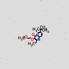 CCc1nc2ccc(C(C)(C)C)cn2c(=O)c1OCCOC